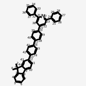 CC1(C)c2ccccc2-c2ccc(-c3ccc(-c4ccc(-c5cc(-c6ccccc6)nc(-c6ccccc6)c5)cc4)cc3)cc21